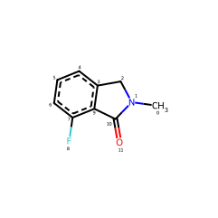 CN1Cc2cccc(F)c2C1=O